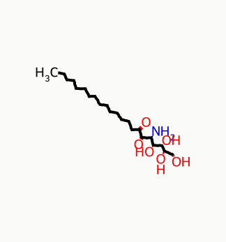 CCCCCCCCCCCCCCCC(=O)C(=O)[C@H](N)[C@@H](O)[C@H](O)[C@H](O)CO